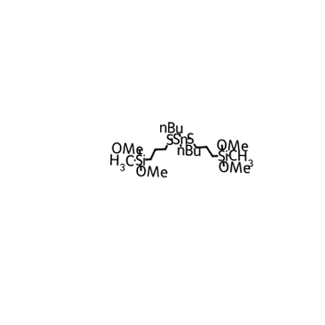 CCC[CH2][Sn]([CH2]CCC)([S]CCC[Si](C)(OC)OC)[S]CCC[Si](C)(OC)OC